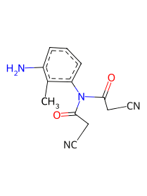 Cc1c(N)cccc1N(C(=O)CC#N)C(=O)CC#N